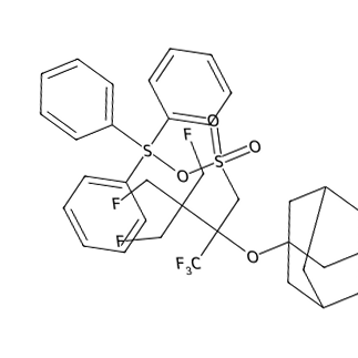 O=S(=O)(CC(OC12CC3CC(CC(C3)C1)C2)(C(F)(F)F)C(CF)(CF)CF)OS(c1ccccc1)(c1ccccc1)c1ccccc1